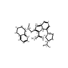 CN(C)[C@@H]1CCN(c2cccc3nc(CN(C)[C@H]4CCCc5cccnc54)c(C(N)=O)n23)C1